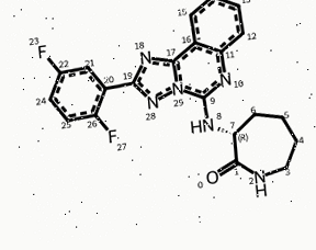 O=C1NCCCC[C@H]1Nc1nc2ccccc2c2nc(-c3cc(F)ccc3F)nn12